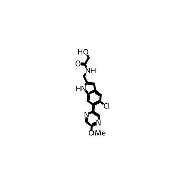 COc1cnc(-c2cc3[nH]c(CNC(=O)CO)cc3cc2Cl)cn1